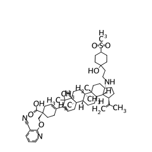 C=C(C)[C@@H]1CC[C@]2(NCCC3(O)CCC(S(C)(=O)=O)CC3)CC[C@]3(C)[C@H](CC[C@@H]4[C@@]5(C)CC=C(C6=CC[C@@](COc7ncccc7C#N)(C(=O)O)CC6)C(C)(C)[C@@H]5CC[C@]43C)[C@@H]12